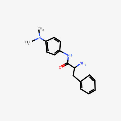 CN(C)c1ccc(NC(=O)C(N)Cc2ccccc2)cc1